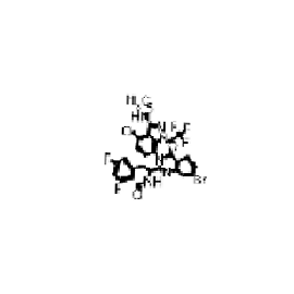 CSNc1nn(CC(F)(F)F)c2c(-n3c(C(Cc4cc(F)cc(F)c4)NC=O)nc4cc(Br)ccc4c3=O)ccc(Cl)c12